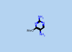 COc1nc(N)ncc1N